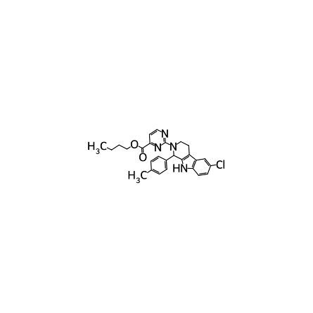 CCCCOC(=O)c1ccnc(N2CCc3c([nH]c4ccc(Cl)cc34)C2c2ccc(C)cc2)n1